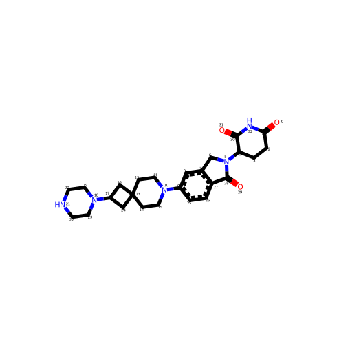 O=C1CCC(N2Cc3cc(N4CCC5(CC4)CC(N4CCNCC4)C5)ccc3C2=O)C(=O)N1